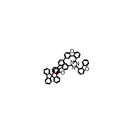 c1ccc2c(c1)-c1ccccc1C21c2ccccc2-c2cc(-c3ccc(-c4ccc5oc6cccc(-c7nc(-c8ccc9c(c8)oc8ccccc89)nc(-c8cccc9oc%10ccccc%10c89)n7)c6c5c4)cc3)ccc21